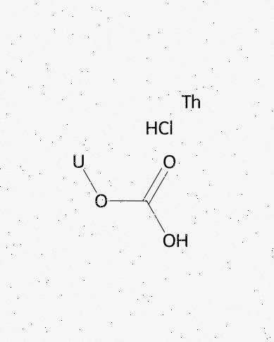 Cl.O=C(O)[O][U].[Th]